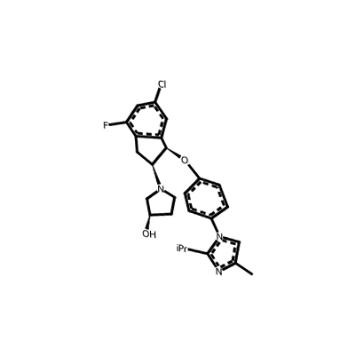 Cc1cn(-c2ccc(O[C@@H]3c4cc(Cl)cc(F)c4C[C@@H]3N3CC[C@@H](O)C3)cc2)c(C(C)C)n1